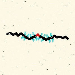 CCCCCCC(F)(F)C(F)(F)CC(F)(F)C(F)(F)OC(F)(F)C(F)(F)CC(F)(F)C(F)(F)CCCCCC